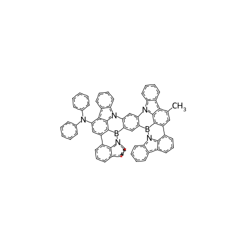 Cc1cc2c3c4c1c1ccccc1n4-c1cc4c(cc1B3n1c3ccccc3c3cccc-2c31)B1c2c(cc(N(c3ccccc3)c3ccccc3)c3c5ccccc5n-4c23)-c2cccc3c4ccccc4n1c23